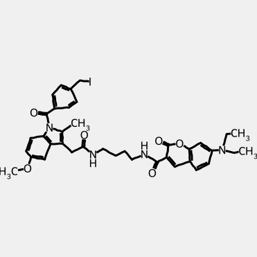 CCN(CC)c1ccc2cc(C(=O)NCCCCNC(=O)Cc3c(C)n(C(=O)c4ccc(CI)cc4)c4ccc(OC)cc34)c(=O)oc2c1